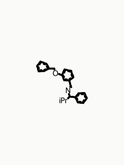 CC(C)C(N=Cc1cccc(OCc2ccccc2)c1)c1ccccc1